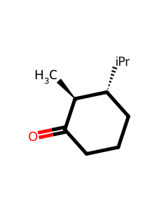 CC(C)[C@@H]1CCCC(=O)[C@H]1C